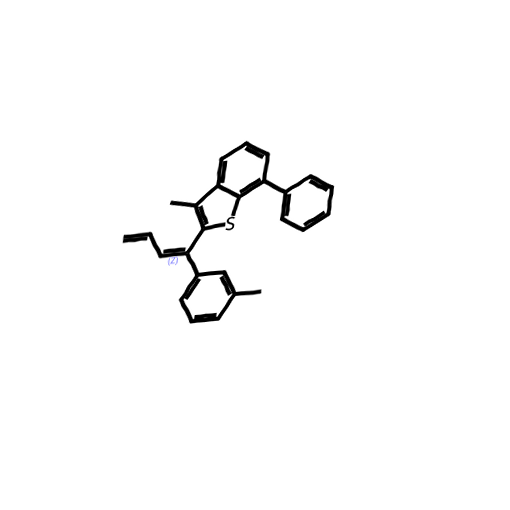 C=C/C=C(/c1cccc(C)c1)c1sc2c(-c3ccccc3)cccc2c1C